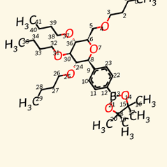 CCCCOC[C@H]1O[C@@H](c2ccc(B3OC(C)(C)C(C)(C)O3)cc2)[C@H](OCCCC)[C@@H](OCCCC)[C@@H]1OCCCC